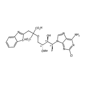 CO[C@H](COC(Cc1nc2ccccc2s1)(C(=O)O)C(=O)O)[C@@H](O)[C@H](F)n1cnc2c(N)nc(Cl)nc21